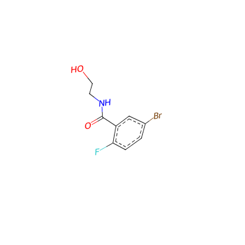 O=C(NCCO)c1cc(Br)ccc1F